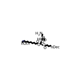 CCCCCCCC/C=C\CCCCCCCC(=O)O[C@H](COC(=O)CCCCCCCCCCCCC)COP(=O)(O)OCCN